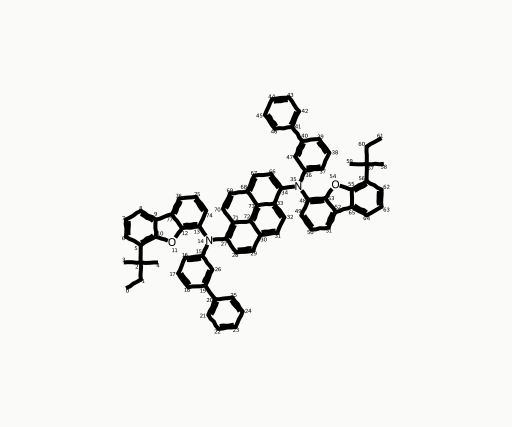 CCC(C)(C)c1cccc2c1oc1c(N(c3cccc(-c4ccccc4)c3)c3ccc4ccc5c(N(c6cccc(-c7ccccc7)c6)c6cccc7c6oc6c(C(C)(C)CC)cccc67)ccc6ccc3c4c65)cccc12